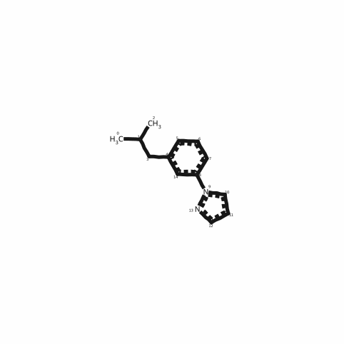 CC(C)Cc1cccc(-n2cccn2)c1